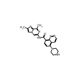 Cc1cn2cc(NC(=O)c3ccc(N4CCNCC4)c4ccnnc34)nc(C)c2n1